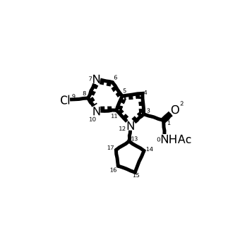 CC(=O)NC(=O)c1cc2cnc(Cl)nc2n1C1CCCC1